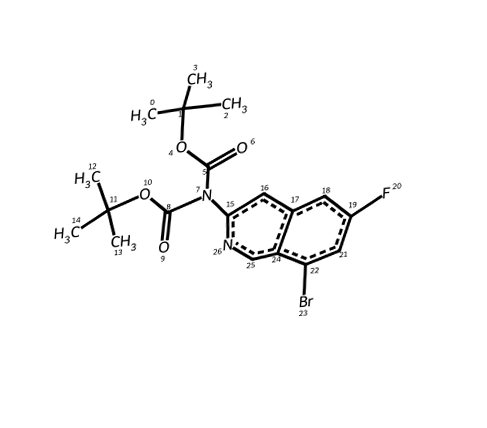 CC(C)(C)OC(=O)N(C(=O)OC(C)(C)C)c1cc2cc(F)cc(Br)c2cn1